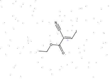 CCOC(=O)/C(C#N)=C/I